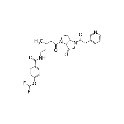 CC(CCNC(=O)c1ccc(OC(F)F)cc1)CC(=O)N1CCC2C1C(=O)CN2C(=O)Cc1cccnc1